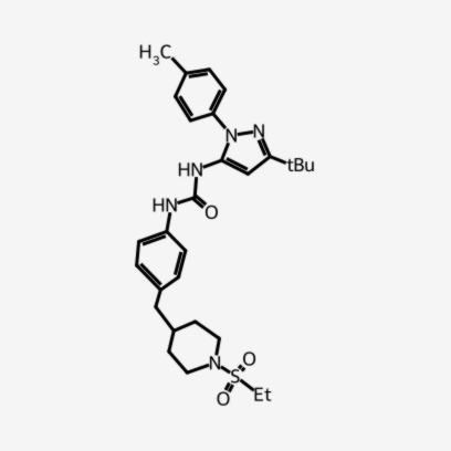 CCS(=O)(=O)N1CCC(Cc2ccc(NC(=O)Nc3cc(C(C)(C)C)nn3-c3ccc(C)cc3)cc2)CC1